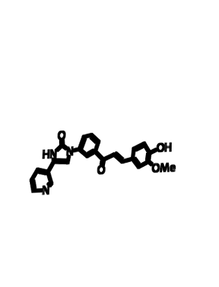 COc1cc(C=CC(=O)c2cccc(-n3cc(-c4cccnc4)[nH]c3=O)c2)ccc1O